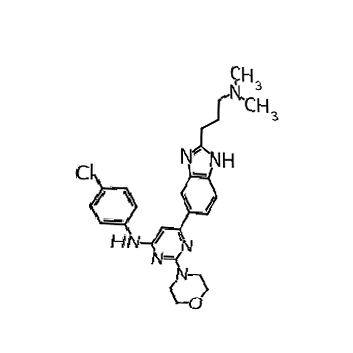 CN(C)CCCc1nc2cc(-c3cc(Nc4ccc(Cl)cc4)nc(N4CCOCC4)n3)ccc2[nH]1